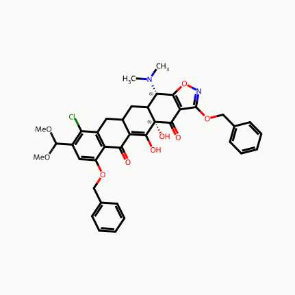 COC(OC)c1cc(OCc2ccccc2)c2c(c1Cl)CC1CC3[C@H](N(C)C)c4onc(OCc5ccccc5)c4C(=O)[C@@]3(O)C(O)=C1C2=O